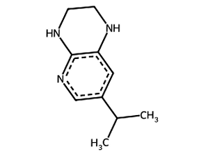 CC(C)c1cnc2c(c1)NCCN2